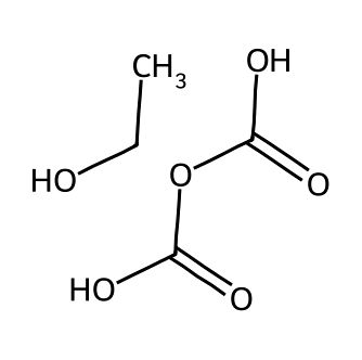 CCO.O=C(O)OC(=O)O